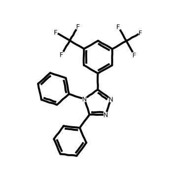 FC(F)(F)c1cc(-c2nnc(-c3ccccc3)n2-c2ccccc2)cc(C(F)(F)F)c1